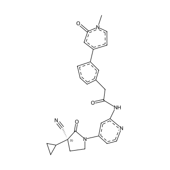 Cn1ccc(-c2cccc(CC(=O)Nc3cc(N4CC[C@@](C#N)(C5CC5)C4=O)ccn3)c2)cc1=O